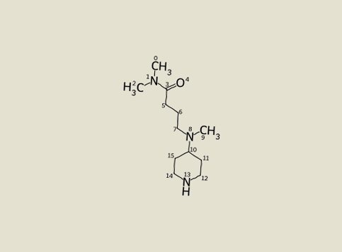 CN(C)C(=O)CCCN(C)C1CCNCC1